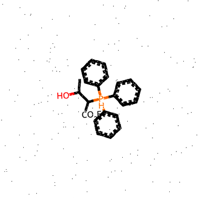 CCOC(=O)C(C(C)O)[PH](c1ccccc1)(c1ccccc1)c1ccccc1